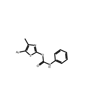 CC(=O)c1sc(OC(=O)Nc2ccccc2)nc1C